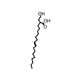 CCCCCCCCC=CCCCCCCC(CCO)C(=O)O